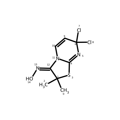 CC1(C)SC2=NC(Cl)(Cl)C=CN2C1=NO